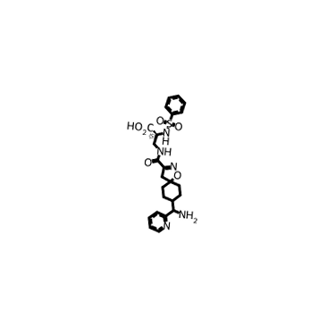 NC(c1ccccn1)C1CCC2(CC1)CC(C(=O)NC[C@H](NS(=O)(=O)c1ccccc1)C(=O)O)=NO2